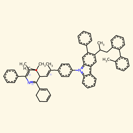 CC/C(C)=C(\N=C(\C1=CC=CCC1)C(/C=C(\C)c1ccc(-n2c3ccccc3c3cc(C(C)Cc4ccccc4-c4ccccc4C)c(-c4ccccc4)cc32)cc1)CC)c1ccccc1